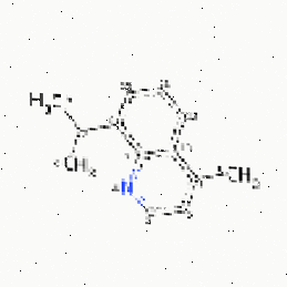 Cc1ccnc2c(C(C)C)cccc12